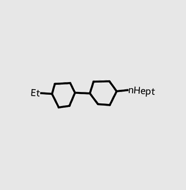 CCCCCCCC1CCC(C2CCC(CC)CC2)CC1